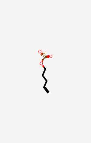 C=CCCCO[SH](=O)=O